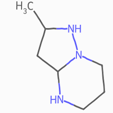 CC1CC2NCCCN2N1